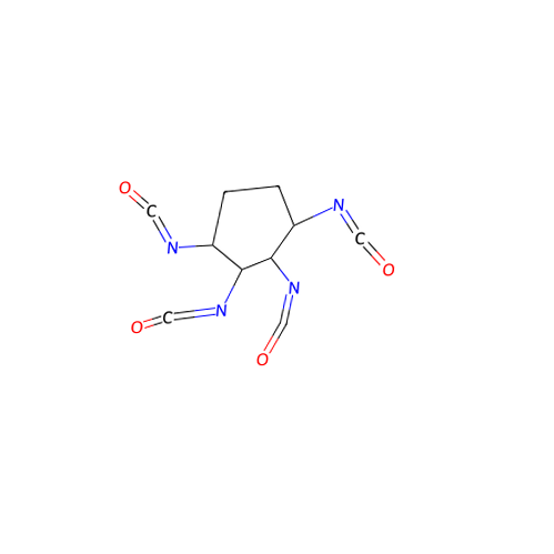 O=C=NC1CCC(N=C=O)C(N=C=O)C1N=C=O